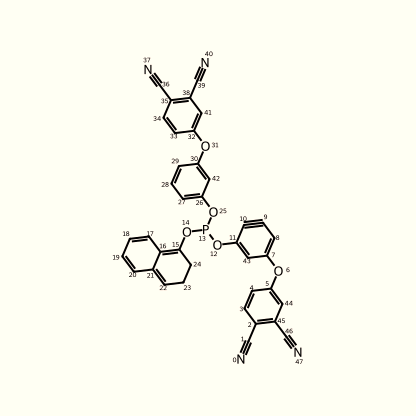 N#Cc1ccc(Oc2cc#cc(OP(OC3=c4ccccc4=CCC3)Oc3cccc(Oc4ccc(C#N)c(C#N)c4)c3)c2)cc1C#N